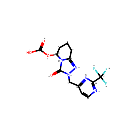 O=C(O)O[C@H]1CCCc2nn(Cc3ccnc(C(F)(F)F)n3)c(=O)n21